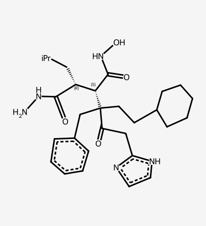 CC(C)C[C@@H](C(=O)NN)[C@H](C(=O)NO)C(CCC1CCCCC1)(Cc1ccccc1)C(=O)Cc1ncc[nH]1